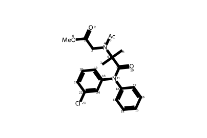 COC(=O)CN(C(C)=O)C(C)(C)C(=O)N(c1ccccc1)c1cccc(Cl)c1